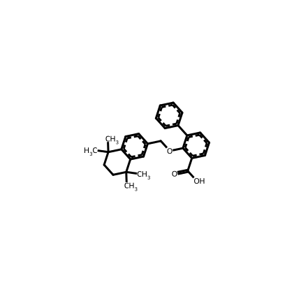 CC1(C)CCC(C)(C)c2cc(COc3c(C(=O)O)cccc3-c3ccccc3)ccc21